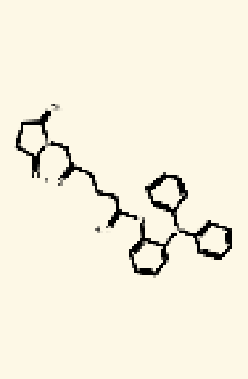 C=C(CCCC(=O)CN1C(=C)CCC1=C)Oc1ccccc1P(c1ccccc1)c1ccccc1